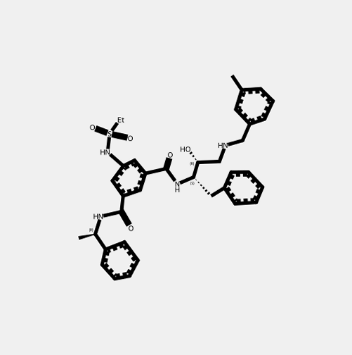 CCS(=O)(=O)Nc1cc(C(=O)N[C@@H](Cc2ccccc2)[C@H](O)CNCc2cccc(C)c2)cc(C(=O)N[C@H](C)c2ccccc2)c1